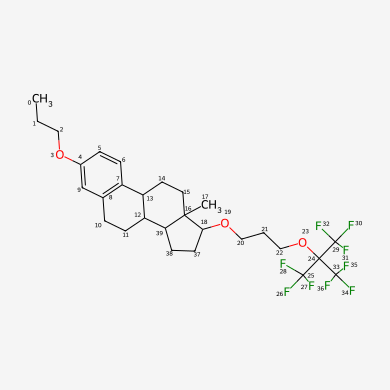 CCCOc1ccc2c(c1)CCC1C2CCC2(C)C(OCCCOC(C(F)(F)F)(C(F)(F)F)C(F)(F)F)CCC12